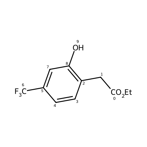 CCOC(=O)Cc1ccc(C(F)(F)F)cc1O